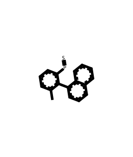 Cc1cccc(P=S)c1-c1cccc2ccccc12